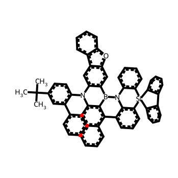 CC(C)(C)c1ccc(N2c3cc4c(cc3B3c5c2cc2ccccc2c5-c2cccc5c2N3c2ccccc2[Si]52c3ccccc3-c3ccccc32)oc2ccccc24)c(-c2ccccc2)c1